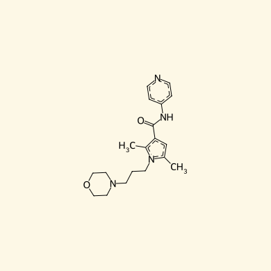 Cc1cc(C(=O)Nc2ccncc2)c(C)n1CCCN1CCOCC1